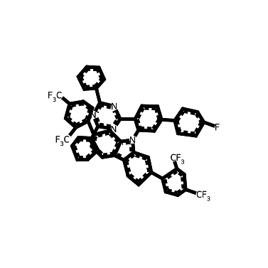 Fc1ccc(-c2ccc(-c3nc(-c4ccccc4)nc(-c4ccccc4)n3)c(-n3c4cc(-c5ccc(C(F)(F)F)cc5C(F)(F)F)ccc4c4ccc(-c5ccc(C(F)(F)F)cc5C(F)(F)F)cc43)c2)cc1